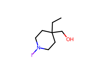 CCC1(CO)CCN(I)CC1